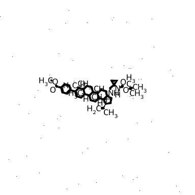 C=C(C)[C@@H]1CC[C@]2(NCC3(NC(=O)OC(C)(C)C)CC3)CC[C@]3(C)[C@H](CC[C@@H]4[C@@]5(C)CC=C(c6ccc(C(=O)OC)cc6)C(C)(C)[C@@H]5CC[C@]43C)[C@@H]12